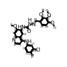 COc1cc2nccc(Nc3ccc(F)c(Cl)c3)c2cc1NC(=O)N/N=C/c1ccc(OC)c(OC)c1OC